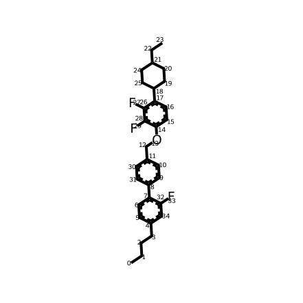 CCCCc1ccc(-c2ccc(COc3ccc(C4CCC(CC)CC4)c(F)c3F)cc2)c(F)c1